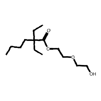 CCCCC(CC)(CC)C(=O)OCCOCCO